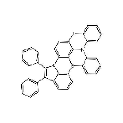 c1ccc(-c2c(-c3ccccc3)n3c4c(cccc24)B2c4ccccc4N4c5ccccc5Sc5ccc-3c2c54)cc1